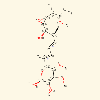 CC[C@H](OC)[C@@H](C)[C@H]1O[C@@H]1[C@H](O)[C@@H](C)/C=C/C=C(\C)[C@H]1O[C@H](OC)[C@H](OC)[C@@H](OC)[C@H]1OC